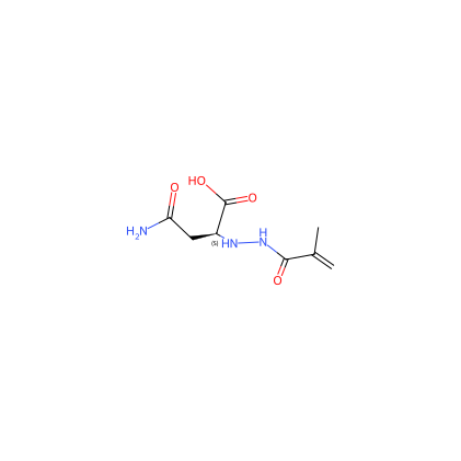 C=C(C)C(=O)NN[C@@H](CC(N)=O)C(=O)O